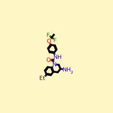 CCc1ccc2c(c1)CC(N)CN2C(=O)Nc1ccc(OC(C)(F)F)cc1